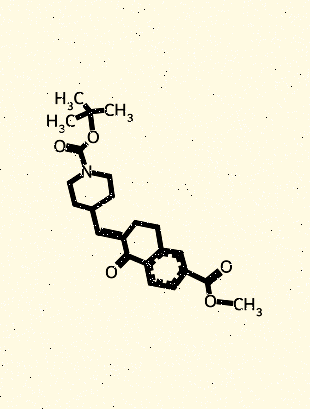 COC(=O)c1ccc2c(c1)CC/C(=C\C1CCN(C(=O)OC(C)(C)C)CC1)C2=O